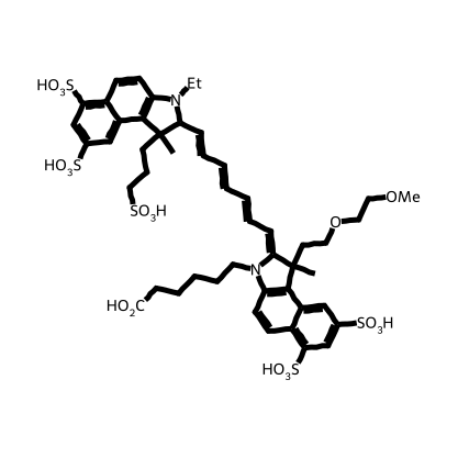 CCN1c2ccc3c(S(=O)(=O)O)cc(S(=O)(=O)O)cc3c2C(C)(CCCS(=O)(=O)O)C1C=CC=CC=CC=C1N(CCCCCC(=O)O)c2ccc3c(S(=O)(=O)O)cc(S(=O)(=O)O)cc3c2C1(C)CCOCCOC